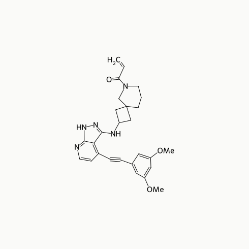 C=CC(=O)N1CCCC2(CC(Nc3n[nH]c4nccc(C#Cc5cc(OC)cc(OC)c5)c34)C2)C1